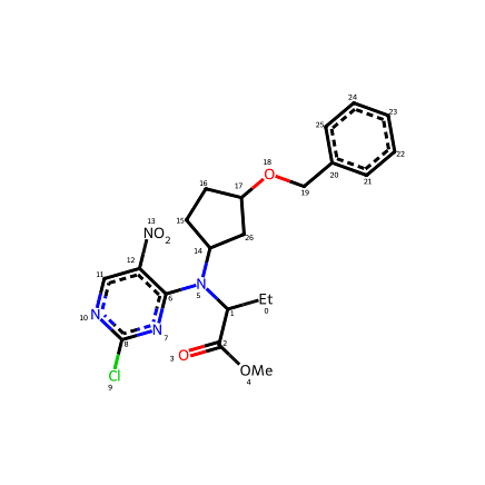 CCC(C(=O)OC)N(c1nc(Cl)ncc1[N+](=O)[O-])C1CCC(OCc2ccccc2)C1